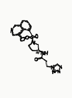 O=C(CCn1cnnn1)N[C@H]1CCN(S(=O)(=O)c2cccc3cncc(Cl)c23)C1